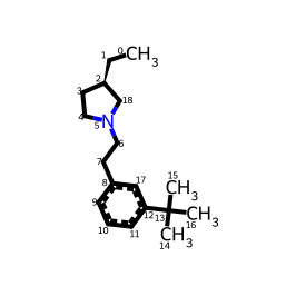 CC[C@@H]1CCN(CCc2cccc(C(C)(C)C)c2)C1